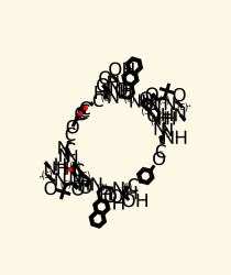 CN[C@@H](C)C(=O)N[C@H](C(=O)N1C[C@@H]2C[C@H]1C(=O)N[C@@H](Cc1ccc3ccccc3c1)C(=O)N[C@H](C(=O)O)Cc1ccc(cc1)OCC1=CN([C@H]3C[C@@H](C(=O)N[C@@H](Cc4ccc5ccccc5c4)C(=O)N[C@H](C(=O)NCC(=O)O)Cc4ccc(cc4)OCc4cn2nn4)N(C(=O)[C@@H](NC(=O)[C@H](C)NC)C(C)(C)C)C3)N(C)N1)C(C)(C)C